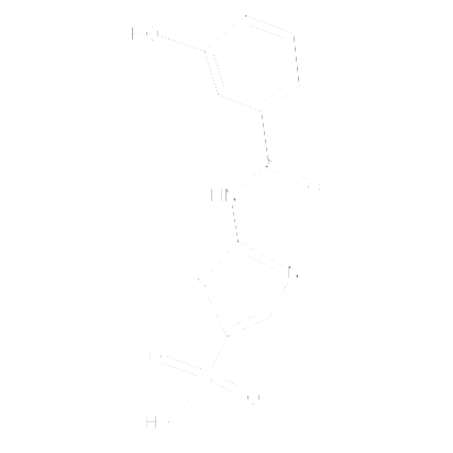 CS(=O)(=O)c1cnc(NC(=O)c2cccc(O)c2)s1